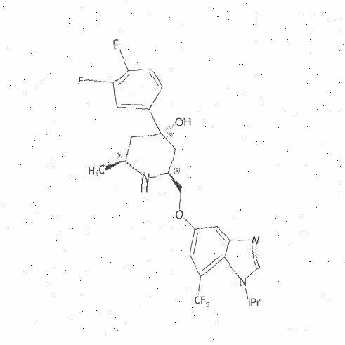 CC(C)n1cnc2cc(OC[C@@H]3C[C@](O)(c4ccc(F)c(F)c4)C[C@H](C)N3)cc(C(F)(F)F)c21